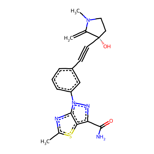 C=C1N(C)CC[C@@]1(O)C#Cc1cccc(-n2nc(C(N)=O)c3sc(C)nc32)c1